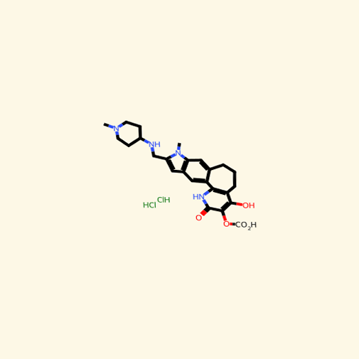 CN1CCC(NCc2cc3cc4c(cc3n2C)CCCc2c-4[nH]c(=O)c(OC(=O)O)c2O)CC1.Cl.Cl